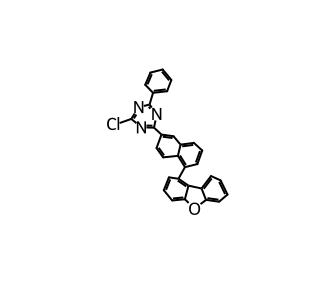 Clc1nc(-c2ccccc2)nc(-c2ccc3c(-c4cccc5oc6ccccc6c45)cccc3c2)n1